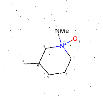 CN[N+]1([O-])CCCC(C)C1